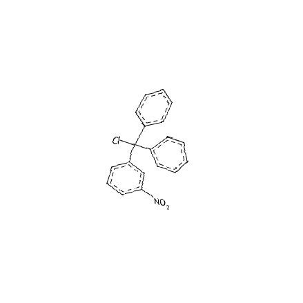 O=[N+]([O-])c1cccc(C(Cl)(c2ccccc2)c2ccccc2)c1